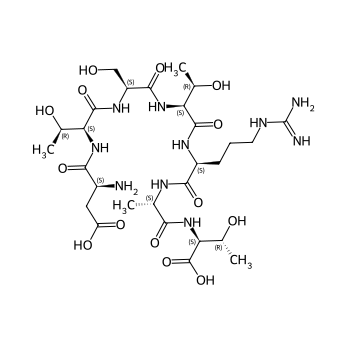 C[C@H](NC(=O)[C@H](CCCNC(=N)N)NC(=O)[C@@H](NC(=O)[C@H](CO)NC(=O)[C@@H](NC(=O)[C@@H](N)CC(=O)O)[C@@H](C)O)[C@@H](C)O)C(=O)N[C@H](C(=O)O)[C@@H](C)O